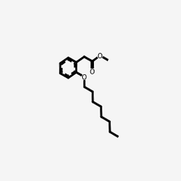 CCCCCCCCOc1ccccc1CC(=O)OC